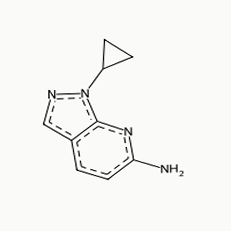 Nc1ccc2cnn(C3CC3)c2n1